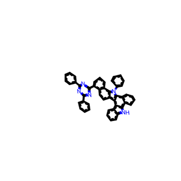 c1ccc(-c2nc(-c3ccccc3)nc(-c3cccc4c3ccc3c5c6c7ccccc7[nH]c6c6ccccc6c5n(-c5ccccc5)c43)n2)cc1